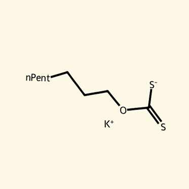 CCCCCCCCOC(=S)[S-].[K+]